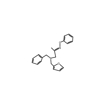 C/C(CN(Cc1ccccc1)Cc1ccco1)=N\Oc1ccccc1